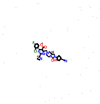 COC(=O)C1=C(CN2CCN3C(O)N(c4ccc(C#N)cc4)C[C@@H]3C2)NC(c2nccs2)=N[C@H]1c1ccc(F)cc1Cl